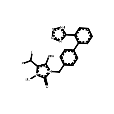 CCCCc1c(C(F)F)n(C(C)(C)C)c(=O)n1Cc1ccc(-c2ccccc2-c2nnn[nH]2)cc1